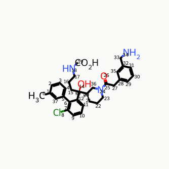 Cc1cccc(-c2c(Cl)cccc2[C@](O)(CCCNC(=O)O)[C@@H]2CCCN(C(=O)Cc3cccc(CN)c3)C2)c1